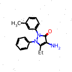 CCc1c(N)c(=O)n(-c2cccc(C)c2)n1-c1ccccc1